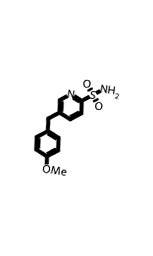 COc1ccc(Cc2ccc(S(N)(=O)=O)nc2)cc1